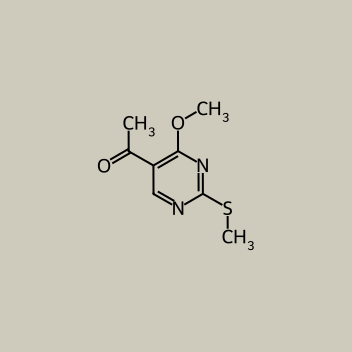 COc1nc(SC)ncc1C(C)=O